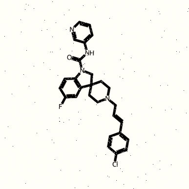 O=C(Nc1cccnc1)N1CC2(CCN(CC=Cc3ccc(Cl)cc3)CC2)c2cc(F)ccc21